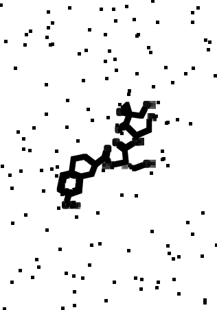 COc1ccc2c(c1)CC(C(=O)N[C@@H](CO)C(=O)NC(CC(C)C)C(=O)C1(CO)CO1)CC2